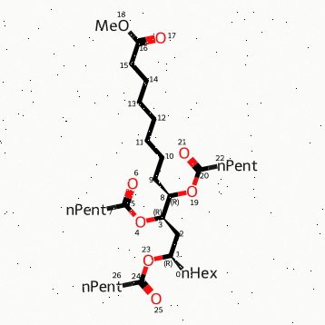 CCCCCC[C@H](C[C@@H](OC(=O)CCCCC)[C@@H](CCCCCCCC(=O)OC)OC(=O)CCCCC)OC(=O)CCCCC